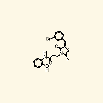 O=C(CCN1C(=O)C(=Cc2cccc(Br)c2)SC1=S)Nc1ccccc1O